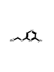 CCC(C)COc1cncc(C(C)C)n1